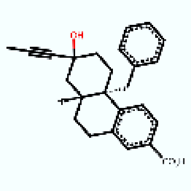 CC#CC1(O)CC[C@@]2(Cc3ccccc3)c3ccc(C(=O)O)cc3CC[C@@H]2C1